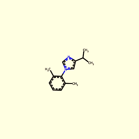 Cc1cccc(C)c1-n1cnc(C(C)C)c1